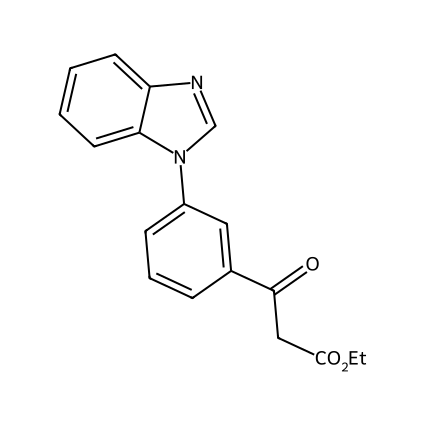 CCOC(=O)CC(=O)c1cccc(-n2cnc3ccccc32)c1